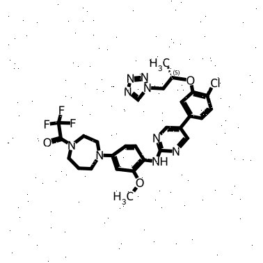 COc1cc(N2CCCN(C(=O)C(F)(F)F)CC2)ccc1Nc1ncc(-c2ccc(Cl)c(O[C@@H](C)Cn3cnnn3)c2)cn1